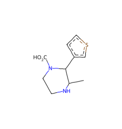 CC1NCCN(C(=O)O)C1c1ccsc1